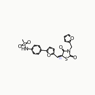 CS(=O)(=O)Nc1ccc(-c2ccc(/C=C3/SC(=O)N(Cc4ccco4)C3=O)o2)cc1